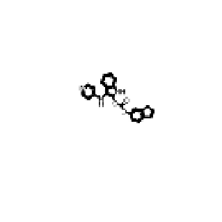 O=C(Oc1ccc2c(c1)CCC2)Oc1[nH]c2ccccc2c1Nc1ccncc1